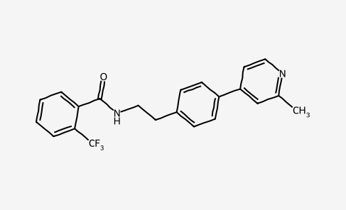 Cc1cc(-c2ccc(CCNC(=O)c3ccccc3C(F)(F)F)cc2)ccn1